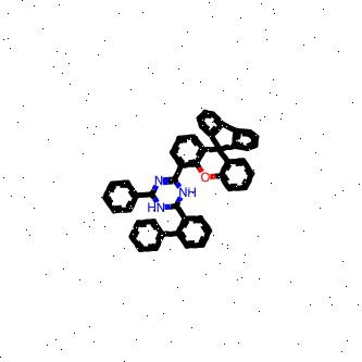 c1ccc(-c2ccccc2C2NC(c3cccc4c3Oc3ccccc3C43c4ccccc4-c4ccccc43)=NC(c3ccccc3)N2)cc1